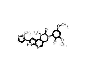 COc1cc(OC)c(Cl)c(N2Cc3cnc4[nH]c(-c5ccnn5C)cc4c3N(C)C2=O)c1